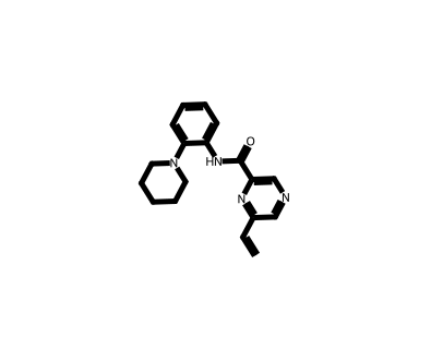 C=Cc1cncc(C(=O)Nc2ccccc2N2CCCCC2)n1